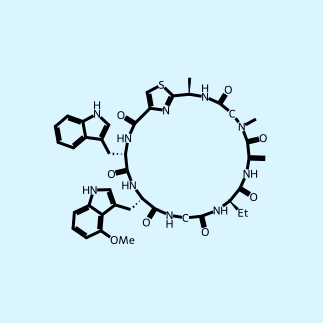 C=C1NC(=O)[C@@H](CC)NC(=O)CNC(=O)[C@H](Cc2c[nH]c3cccc(OC)c23)NC(=O)[C@H](Cc2c[nH]c3ccccc23)NC(=O)c2csc(n2)[C@@H](C)NC(=O)CN(C)C1=O